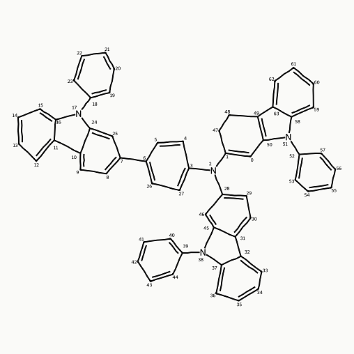 C1=C(N(c2ccc(-c3ccc4c5ccccc5n(-c5ccccc5)c4c3)cc2)c2ccc3c4ccccc4n(-c4ccccc4)c3c2)CCc2c1n(-c1ccccc1)c1ccccc21